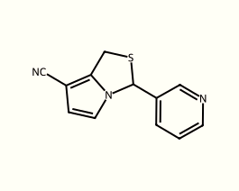 N#Cc1ccn2c1CSC2c1cccnc1